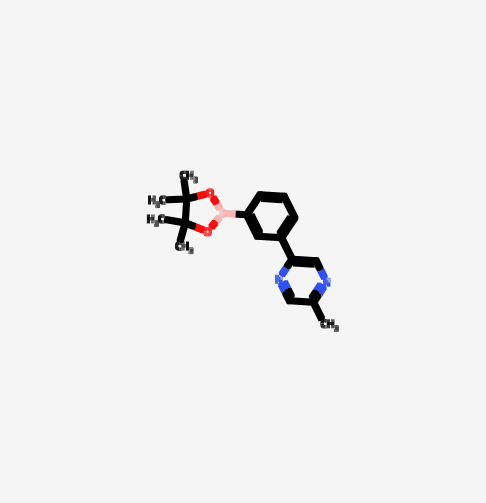 Cc1cnc(-c2cccc(B3OC(C)(C)C(C)(C)O3)c2)cn1